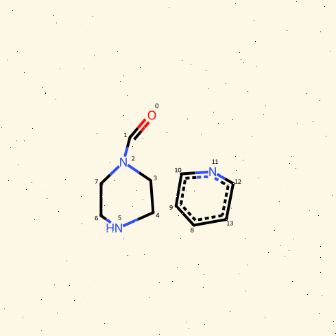 O=CN1CCNCC1.c1ccncc1